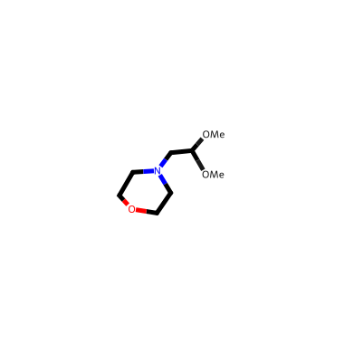 COC(CN1CCOCC1)OC